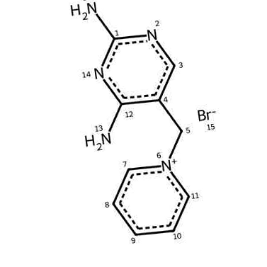 Nc1ncc(C[n+]2ccccc2)c(N)n1.[Br-]